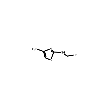 CC(C)CNc1nc(N)cs1